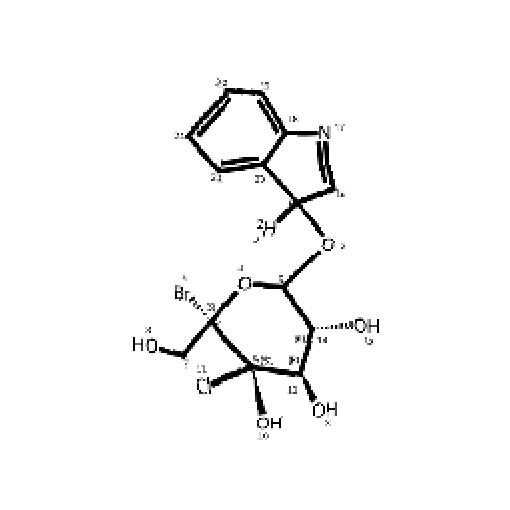 [2H]C1(OC2O[C@](Br)(CO)[C@@](O)(Cl)[C@H](O)[C@H]2O)C=Nc2ccccc21